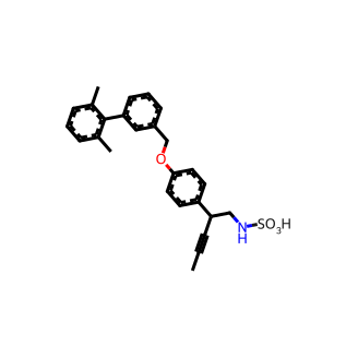 CC#CC(CNS(=O)(=O)O)c1ccc(OCc2cccc(-c3c(C)cccc3C)c2)cc1